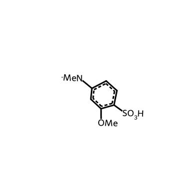 C[N]c1ccc(S(=O)(=O)O)c(OC)c1